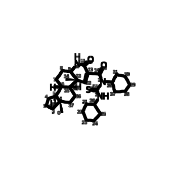 C[C@@]12CCC[C@H]1[C@@H]1CCC3NC(=O)C(C(=O)N(C(=S)NC4CCCCC4)C4CCCCC4)=C[C@]3(C)[C@@H]1CC2